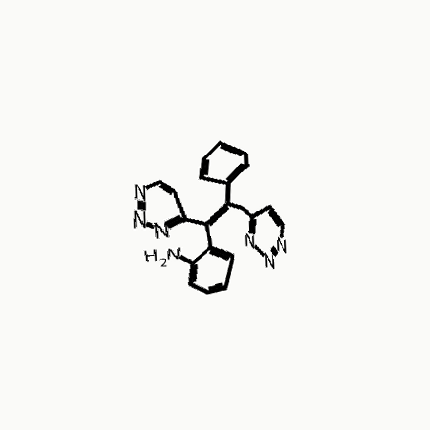 Nc1ccccc1C(=C(c1ccccc1)c1ccnnn1)c1ccnnn1